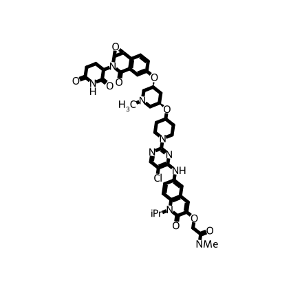 CNC(=O)COc1cc2cc(Nc3nc(N4CCC(O[C@@H]5C[C@@H](Oc6ccc7c(c6)C(=O)N(C6CCC(=O)NC6=O)C6OC76)CN(C)C5)CC4)ncc3Cl)ccc2n(C(C)C)c1=O